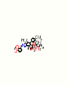 Cc1ccc(-c2c(C)c3c(c(C)c2C(OC(C)(C)C)C(=O)O)CN(Cc2cccc4c2OCCO4)C3)cc1